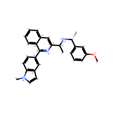 COc1cccc([C@@H](C)NC(C)c2cc3ccccc3c(-c3ccc4c(ccn4C)c3)n2)c1